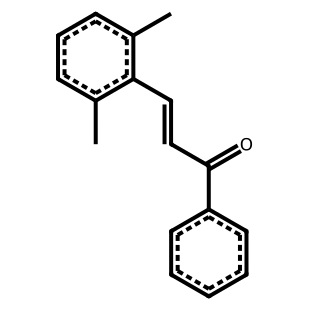 Cc1cccc(C)c1C=CC(=O)c1ccccc1